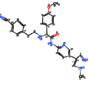 CN/C=C(\C=N)c1ccc(NC(=O)C(NCCc2ccc(C#N)cc2)c2ccc(OC)cc2)nc1